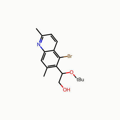 Cc1ccc2c(Br)c(C(CO)OC(C)(C)C)c(C)cc2n1